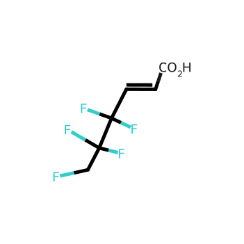 O=C(O)C=CC(F)(F)C(F)(F)CF